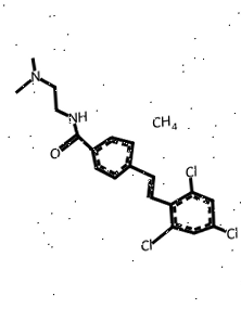 C.CN(C)CCNC(=O)c1ccc(/C=C/c2c(Cl)cc(Cl)cc2Cl)cc1